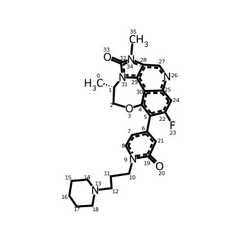 C[C@H]1COc2c(-c3ccn(CCCN4CCCCC4)c(=O)c3)c(F)cc3ncc4c(c23)n1c(=O)n4C